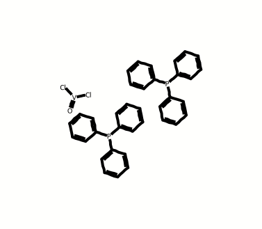 [O]=[V]([Cl])[Cl].c1ccc(P(c2ccccc2)c2ccccc2)cc1.c1ccc(P(c2ccccc2)c2ccccc2)cc1